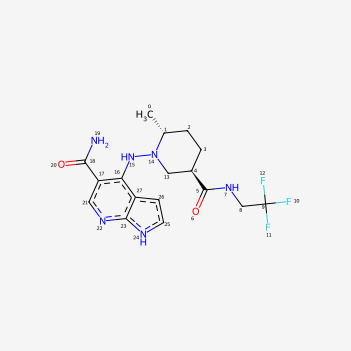 C[C@@H]1CC[C@@H](C(=O)NCC(F)(F)F)CN1Nc1c(C(N)=O)cnc2[nH]ccc12